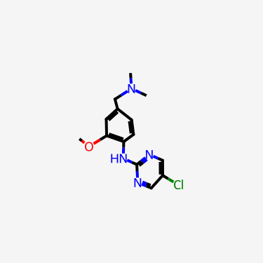 COc1cc(CN(C)C)ccc1Nc1ncc(Cl)cn1